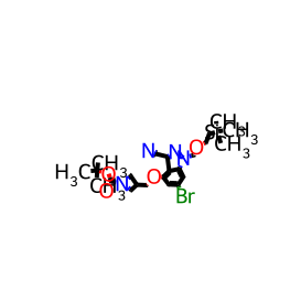 CC(C)(C)OC(=O)N1CC(COc2cc(Br)cc3c2c(C#N)nn3COCC[Si](C)(C)C)C1